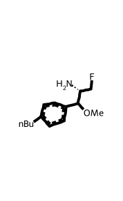 CCCCc1ccc(C(OC)[C@H](N)CF)cc1